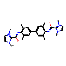 CCCCn1cc[n+](C)c1/C([O-])=N/c1c(C)cc(-c2cc(C)c(/N=C(\[O-])c3n(CCCC)cc[n+]3C)c(C)c2)cc1C